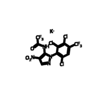 O=C(Nc1c([N+](=O)[O-])cnn1-c1c(Cl)cc(C(F)(F)F)c(Cl)c1Cl)C(F)(F)F.[K]